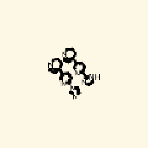 c1c[nH]c(-c2ccc(C34CCCN(CC3)C4)cn2)n1.c1cn(-c2ccc(C34CCCN(CC3)C4)cn2)cn1